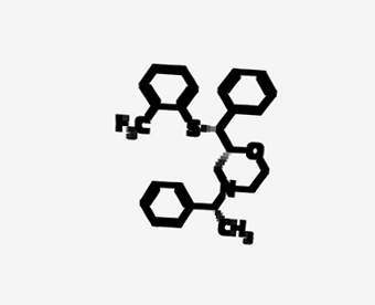 C[C@H](c1ccccc1)N1CCO[C@@H]([C@H](Sc2ccccc2C(F)(F)F)c2ccccc2)C1